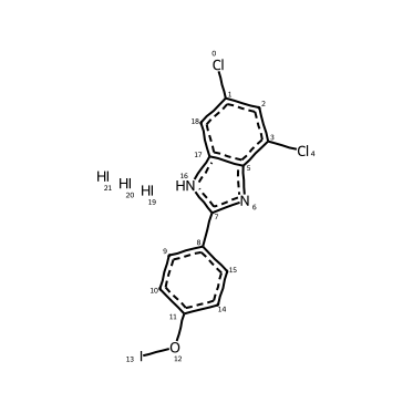 Clc1cc(Cl)c2nc(-c3ccc(OI)cc3)[nH]c2c1.I.I.I